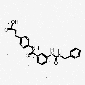 O=C(O)CCc1ccc(NC(=O)c2cccc(NC(=O)NCc3ccccc3)c2)cc1